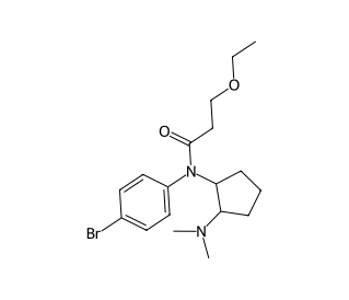 CCOCCC(=O)N(c1ccc(Br)cc1)C1CCCC1N(C)C